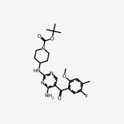 COc1cc(C)c(F)cc1C(=O)c1cnc(NC2CCN(C(=O)OC(C)(C)C)CC2)nc1N